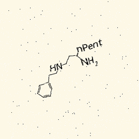 CCCCCC(N)CCNCCc1ccccc1